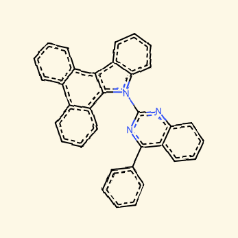 c1ccc(-c2nc(-n3c4ccccc4c4c5ccccc5c5ccccc5c43)nc3ccccc23)cc1